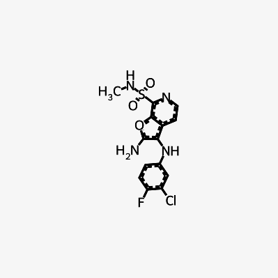 CNS(=O)(=O)c1nccc2c(Nc3ccc(F)c(Cl)c3)c(N)oc12